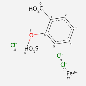 O=C(O)c1ccccc1OS(=O)(=O)O.[Cl-].[Cl-].[Cl-].[Fe+3]